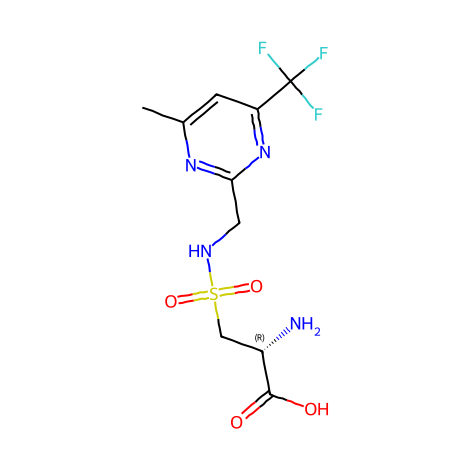 Cc1cc(C(F)(F)F)nc(CNS(=O)(=O)C[C@H](N)C(=O)O)n1